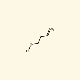 C=CCCS[CH]C